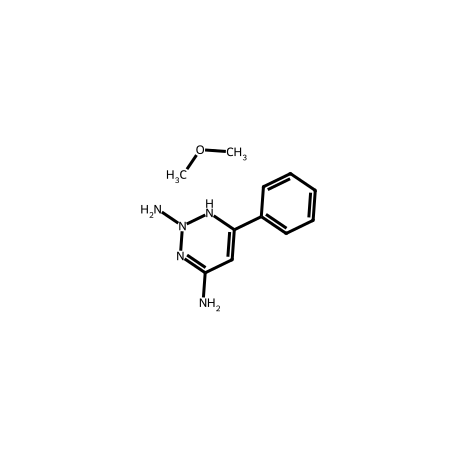 COC.NC1=NN(N)NC(c2ccccc2)=C1